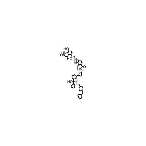 O=C(NCc1ccc(-c2cccc(C(O)(C(=O)OCC3CCN(Cc4ccccc4)CC3)c3ccccc3)c2)s1)c1ccc(CNC[C@H](O)c2ccc(O)c3[nH]c(=O)ccc23)c(F)c1F